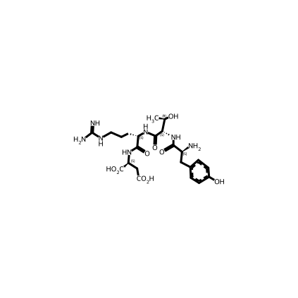 C[C@@H](O)[C@H](NC(=O)[C@@H](N)Cc1ccc(O)cc1)C(=O)N[C@@H](CCCNC(=N)N)C(=O)N[C@@H](CC(=O)O)C(=O)O